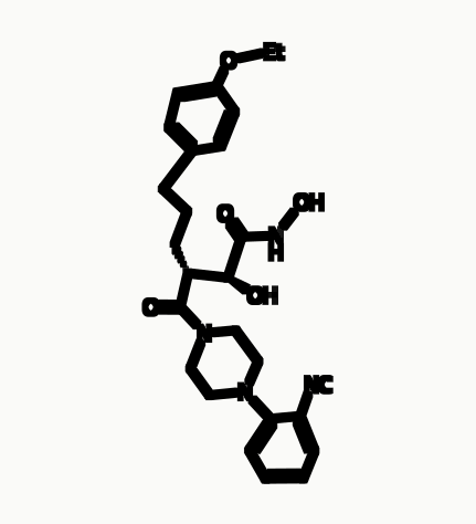 [C-]#[N+]c1ccccc1N1CCN(C(=O)[C@H](CCCc2ccc(OCC)cc2)[C@H](O)C(=O)NO)CC1